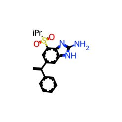 C=C(c1ccccc1)c1cc(S(=O)(=O)C(C)C)c2nc(N)[nH]c2c1